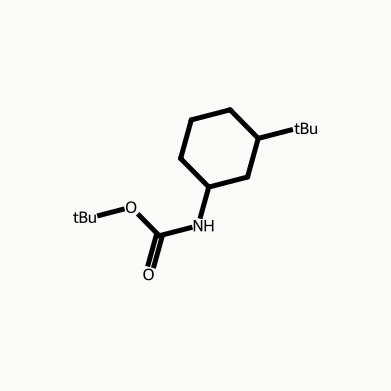 CC(C)(C)OC(=O)NC1CCCC(C(C)(C)C)C1